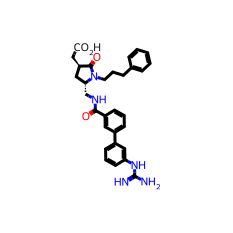 N=C(N)Nc1cccc(-c2cccc(C(=O)NC[C@@H]3C[C@@H](CC(=O)O)C(=O)N3CCCc3ccccc3)c2)c1